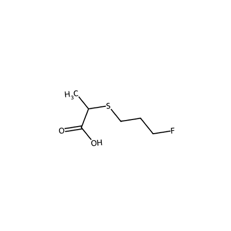 CC(SCCCF)C(=O)O